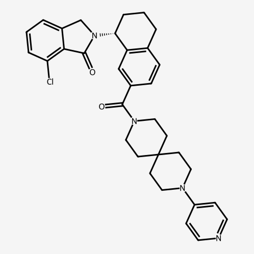 O=C(c1ccc2c(c1)[C@H](N1Cc3cccc(Cl)c3C1=O)CCC2)N1CCC2(CC1)CCN(c1ccncc1)CC2